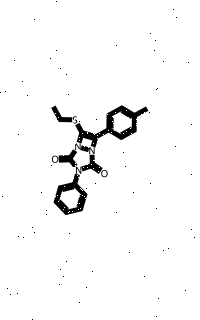 CCSc1c(-c2ccc(C)cc2)n2c(=O)n(-c3ccccc3)c(=O)n12